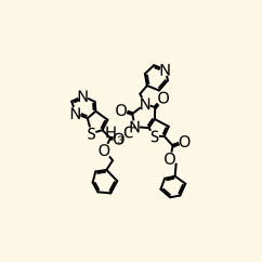 Cn1c(=O)n(Cc2ccncc2)c(=O)c2cc(C(=O)OCc3ccccc3)sc21.O=C(OCc1ccccc1)c1cc2cncnc2s1